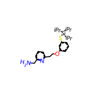 CC(C)[Si](Sc1cccc(OCCc2cccc(CN)n2)c1)(C(C)C)C(C)C